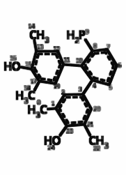 Cc1cc(-c2cccc(P)c2-c2cc(C)c(O)c(C)c2)cc(C)c1O